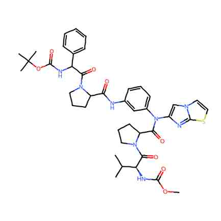 COC(=O)N[C@H](C(=O)N1CCCC1C(=O)N(c1cccc(NC(=O)C2CCCN2C(=O)C(NC(=O)OC(C)(C)C)c2ccccc2)c1)c1cn2ccsc2n1)C(C)C